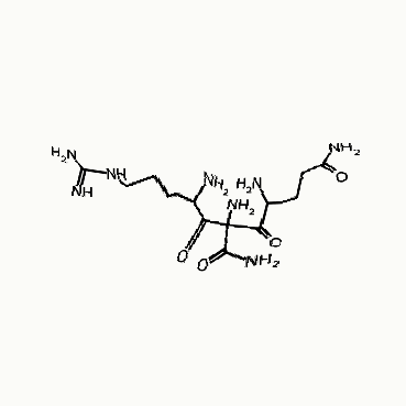 N=C(N)NCCCC(N)C(=O)C(N)(C(N)=O)C(=O)C(N)CCC(N)=O